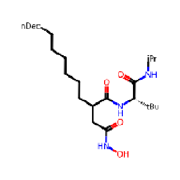 CCCCCCCCCCCCCCCCC(CC(=O)NO)C(=O)N[C@H](C(=O)NC(C)C)C(C)(C)C